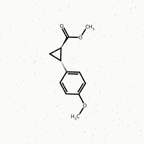 COC(=O)[C@@H]1C[C@H]1c1ccc(OC)cc1